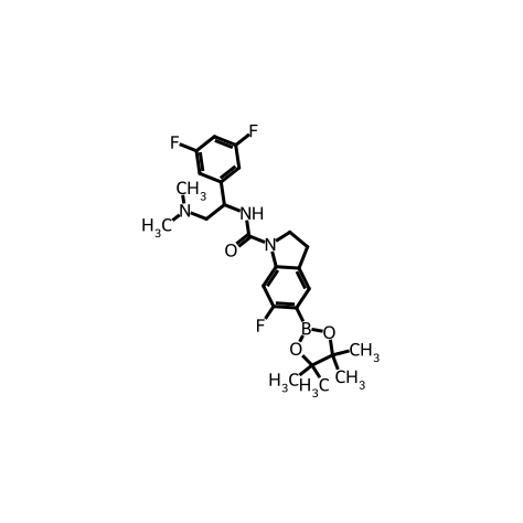 CN(C)CC(NC(=O)N1CCc2cc(B3OC(C)(C)C(C)(C)O3)c(F)cc21)c1cc(F)cc(F)c1